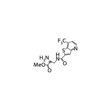 COC(=O)[C@H](N)CNC(=O)c1cc2nccc(C(F)(F)F)c2s1